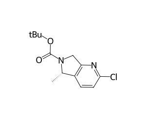 C[C@H]1c2ccc(Cl)nc2CN1C(=O)OC(C)(C)C